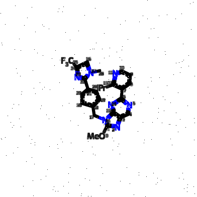 COc1nc2cnc(-c3cccnc3C(C)C)nc2n1Cc1ccc(-c2nc(C(F)(F)F)cn2C)cc1